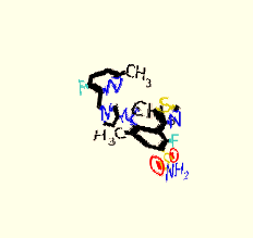 Cc1ccc(F)c(CN2CC[C@H](N(C)c3c(C)cc(S(N)(=O)=O)c(F)c3-c3cscn3)C2)n1